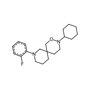 Fc1ccccc1N1CCCC2(CCN(C3CCCCC3)OC2)C1